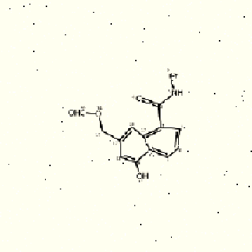 CC(C)NC(=O)c1cccc2c(O)cc(COC=O)cc12